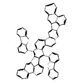 c1ccc2c(c1)cc1c3c(cccc32)-c2cc3ccc4c(ccc5c(-c6cccc7c6oc6ccccc67)c6c(c(-c7cccc8c7oc7ccccc78)c54)-c4cccc5c4c-6cc4ccccc45)c3cc2-1